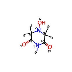 CN1C(=O)C(C)(C)N(O)C(C)(C)C1=O